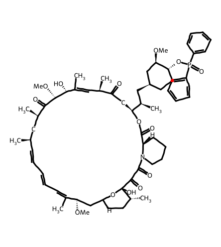 CO[C@H]1C[C@@H]2CC[C@@H](C)C(O)(O2)C(=O)C(=O)N2CCCC[C@H]2C(=O)O[C@H]([C@H](C)C[C@@H]2CC[C@@H](OP(=O)(c3ccccc3)c3ccccc3)[C@H](OC)C2)CC(=O)[C@H](C)/C=C(\C)[C@@H](O)[C@@H](OC)C(=O)[C@H](C)C[C@H](C)/C=C/C=C/C=C/1C